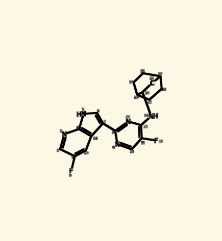 Fc1cnc2[nH]cc(-c3ncc(F)c(NC4CC5CCC4CC5)n3)c2c1